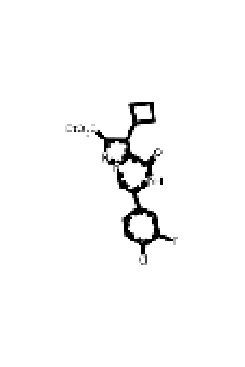 CCOC(=O)c1nn2cc(-c3ccc(Cl)c(F)c3)[nH]c(=O)c2c1C1CCC1